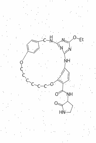 CCOc1nc2nc(n1)Nc1ccc(C(=O)NC3CCNC3=O)c(c1)OCCCCCCOc1ccc(cc1)CN2